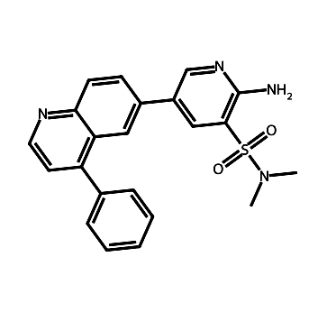 CN(C)S(=O)(=O)c1cc(-c2ccc3nccc(-c4ccccc4)c3c2)cnc1N